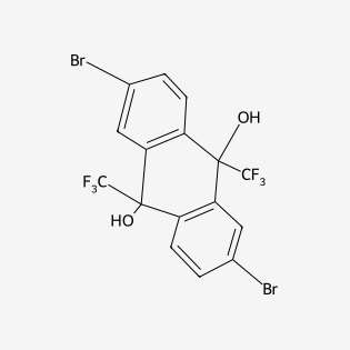 OC1(C(F)(F)F)c2ccc(Br)cc2C(O)(C(F)(F)F)c2ccc(Br)cc21